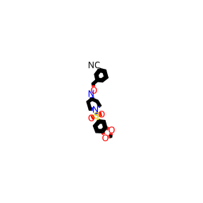 N#Cc1cccc(CON=C2CCN(S(=O)(=O)c3ccc4c(c3)OCO4)CC2)c1